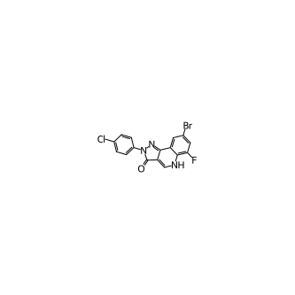 O=c1c2c[nH]c3c(F)cc(Br)cc3c-2nn1-c1ccc(Cl)cc1